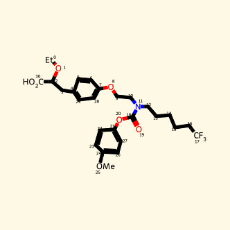 CCOC(Cc1ccc(OCCN(CCCCCC(F)(F)F)C(=O)Oc2ccc(OC)cc2)cc1)C(=O)O